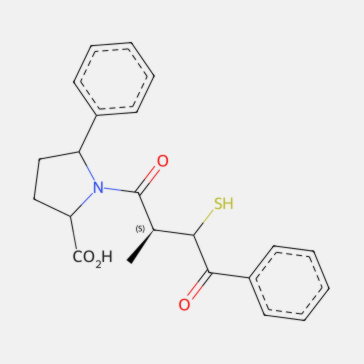 C[C@@H](C(=O)N1C(C(=O)O)CCC1c1ccccc1)C(S)C(=O)c1ccccc1